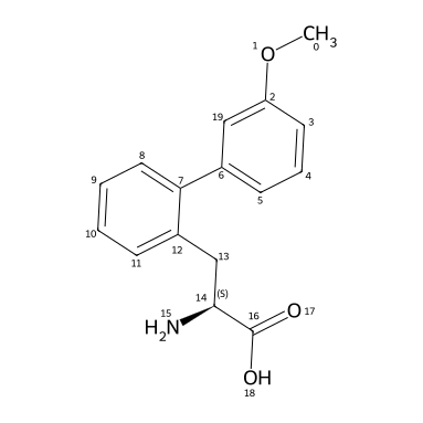 COc1cccc(-c2ccccc2C[C@H](N)C(=O)O)c1